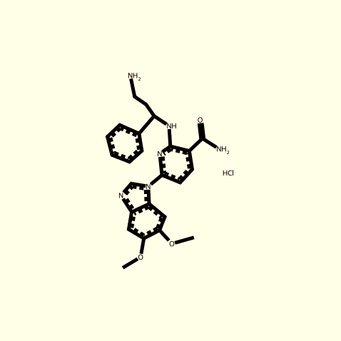 COc1cc2ncn(-c3ccc(C(N)=O)c(NC(CCN)c4ccccc4)n3)c2cc1OC.Cl